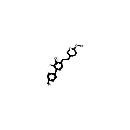 CCCc1ccc(-c2ccc(CCC3CCC(OCC)OC3)c(C(F)(F)F)c2F)cc1